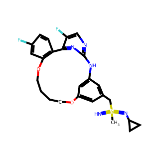 CS(=N)(Cc1cc2cc(c1)OCCCCOc1cc(F)ccc1-c1nc(ncc1F)N2)=NC1CC1